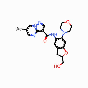 CC(=O)c1cnc2c(C(=O)Nc3cc4c(cc3N3CCOCC3)OC(CO)C4)cnn2c1